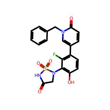 O=C1CN(c2c(O)ccc(-c3ccc(=O)n(Cc4ccccc4)c3)c2F)S(=O)(=O)N1